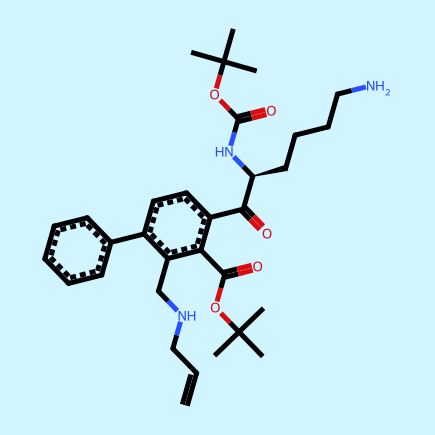 C=CCNCc1c(-c2ccccc2)ccc(C(=O)[C@H](CCCCN)NC(=O)OC(C)(C)C)c1C(=O)OC(C)(C)C